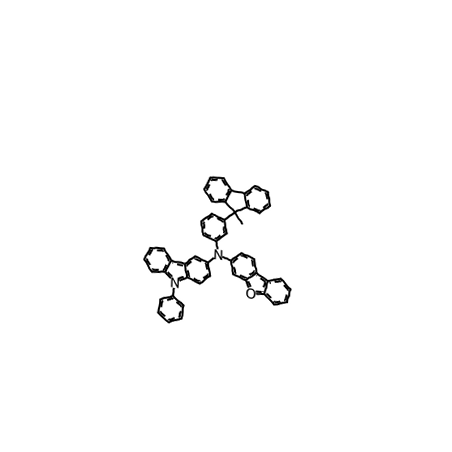 CC1(c2cccc(N(c3ccc4c(c3)oc3ccccc34)c3ccc4c(c3)c3ccccc3n4-c3ccccc3)c2)c2ccccc2-c2ccccc21